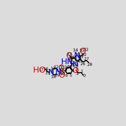 CCCOc1ccc(S(=O)(=O)N2CCN(CCO)CC2)cc1-c1nc2c(CCC)c(COC)n(C)c2c(=O)[nH]1